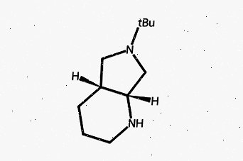 CC(C)(C)N1C[C@H]2CCCN[C@H]2C1